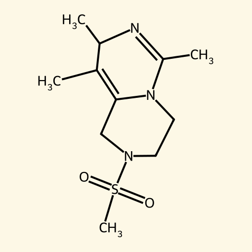 CC1=NC(C)C(C)=C2CN(S(C)(=O)=O)CCN12